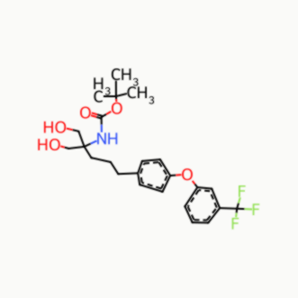 CC(C)(C)OC(=O)NC(CO)(CO)CCCc1ccc(Oc2cccc(C(F)(F)F)c2)cc1